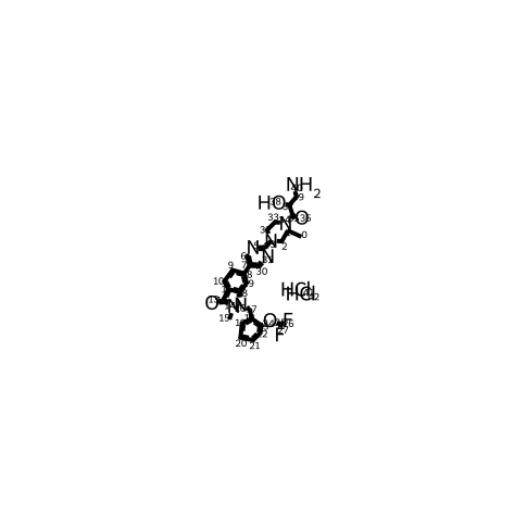 CC1CN(c2ncc(-c3ccc4c(=O)n(C)n(Cc5ccccc5OC(F)F)c4c3)cn2)CCN1C(=O)C(O)CN.Cl.Cl